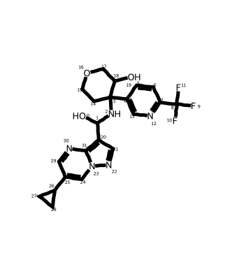 OC(NC1(c2ccc(C(F)(F)F)nc2)CCOCC1O)c1cnn2cc(C3CC3)cnc12